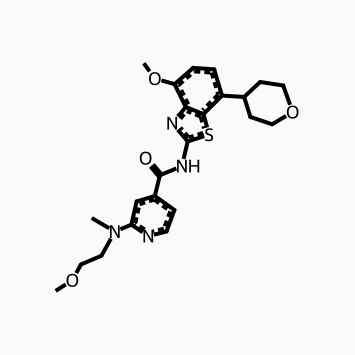 COCCN(C)c1cc(C(=O)Nc2nc3c(OC)ccc(C4CCOCC4)c3s2)ccn1